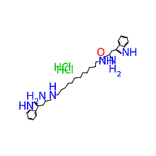 Cl.Cl.N[C@@H](CNCCCCCCCCCCCCNC(=O)[C@@H](N)Cc1c[nH]c2ccccc12)Cc1c[nH]c2ccccc12